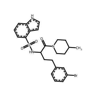 CC1CCN(C(=O)C(CCc2cccc(Br)c2)NS(=O)(=O)c2cccc3[nH]ccc23)CC1